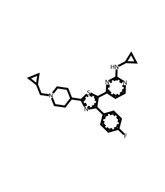 Fc1ccc(-c2nc(C3CCN(CC4CC4)CC3)sc2-c2ccnc(NC3CC3)n2)cc1